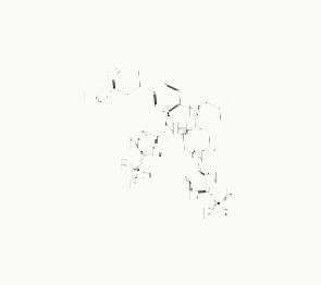 CC(C)CN(c1ccc(C(C)CC(=O)O)cc1Nc1nc(C(F)(F)F)ns1)C1CCN(c2nc(C(F)(F)F)ns2)CC1